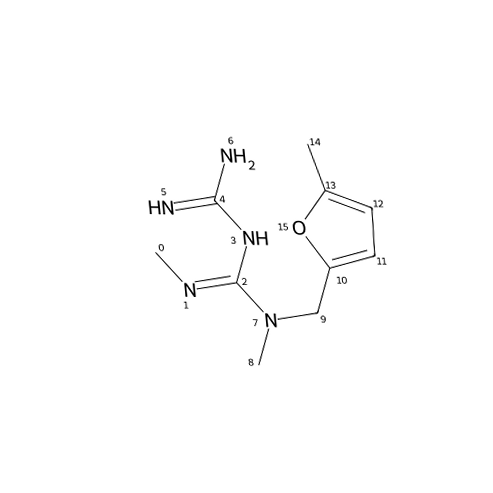 C/N=C(\NC(=N)N)N(C)Cc1ccc(C)o1